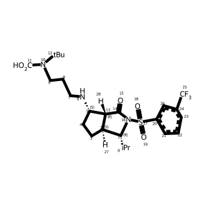 CC(C)[C@@H]1[C@H]2CC[C@H](NCCCN(C(=O)O)C(C)(C)C)[C@@H]2C(=O)N1S(=O)(=O)c1cccc(C(F)(F)F)c1